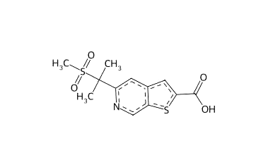 CC(C)(c1cc2cc(C(=O)O)sc2cn1)S(C)(=O)=O